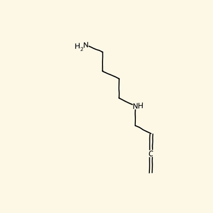 C=C=CCNCCCCN